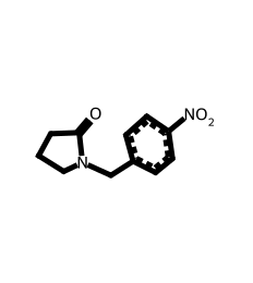 O=C1CCCN1Cc1ccc([N+](=O)[O-])cc1